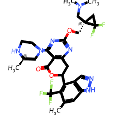 Cc1cc2[nH]ncc2c(C2Cc3nc(OC[C@]4(CN(C)C)CC4(F)F)nc(N4CCN[C@H](C)C4)c3C(=O)O2)c1C(F)(F)F